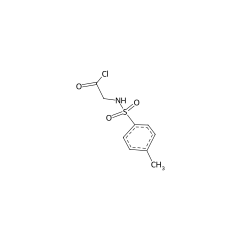 Cc1ccc(S(=O)(=O)NCC(=O)Cl)cc1